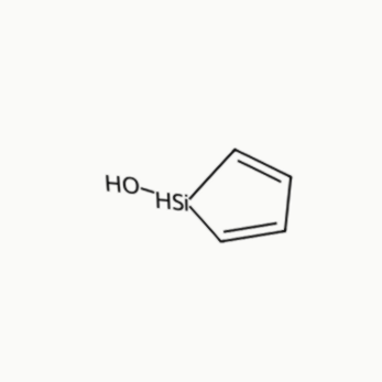 O[SiH]1C=CC=C1